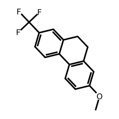 COc1ccc2c(c1)CCc1cc(C(F)(F)F)ccc1-2